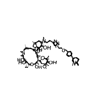 CC[C@H]1OC(O)[C@H](C)C([C@H]2C[C@@](C)(OC)[C@@H](O)[C@H](C)O2)[C@H](C)[C@@H](O[C@@H]2O[C@H](C)C[C@H](N(C)CCc3cn(CCOCc4ccc(-c5ccc(C)nc5)cc4)nn3)[C@H]2O)[C@](C)(O)C[C@@H](C)CN(C)[C@H](C)[C@@H](O)[C@]1(C)O